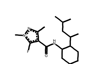 Cc1nn(C)c(F)c1C(=O)NC1CCCCC1C(C)CC(C)C